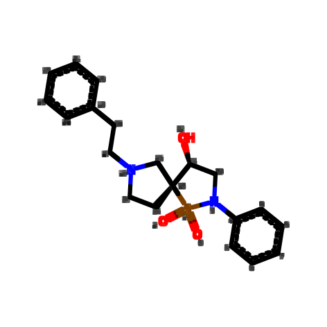 O=S1(=O)N(c2ccccc2)C[C@H](O)[C@]12CCN(CCc1ccccc1)C2